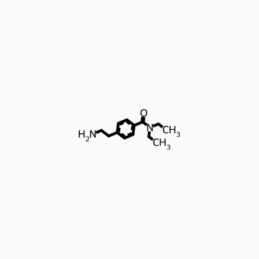 CCN(CC)C(=O)c1ccc(CCN)cc1